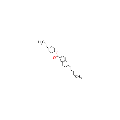 CCCCCC1CCc2cc(C(=O)OC3CCC(CCC)CC3)ccc2C1